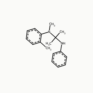 Cc1ccccc1N(C)C(C)(C)Nc1ccccc1